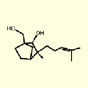 CC(C)=CCC[C@]1(C)C2CCC(CO)(C2)[C@H]1O